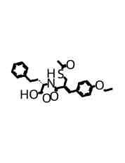 CCOc1ccc(/C=C(\CSC(C)=O)C(=O)N[C@@H](CCc2ccccc2)C(=O)O)cc1